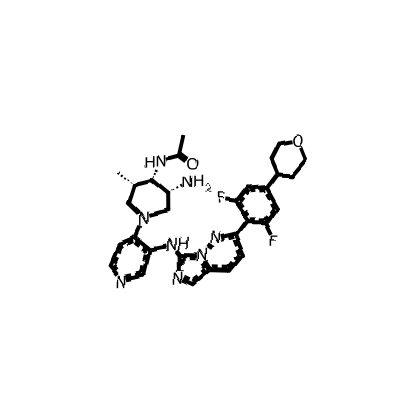 CC(=O)N[C@@H]1[C@H](N)CN(c2ccncc2Nc2ncc3ccc(-c4c(F)cc(C5CCOCC5)cc4F)nn23)C[C@@H]1C